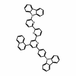 c1cc(-c2cc(-c3cccc4ccccc34)cc(-c3ccc(-n4c5ccccc5c5ccccc54)cc3)n2)nc(-c2cccc(-n3c4ccccc4c4ccccc43)n2)c1